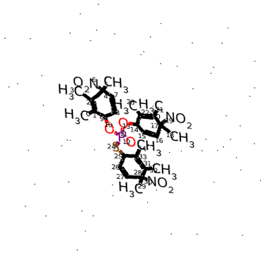 CC1=C(C)C(C)([N+](=O)[O-])C=CC1OP(=O)(OC1C=CC(C)([N+](=O)[O-])C(C)=C1C)SC1C=CC(C)([N+](=O)[O-])C(C)=C1C